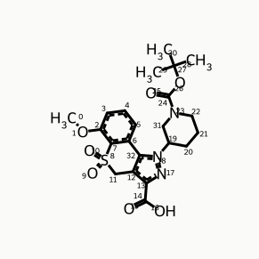 COc1cccc2c1S(=O)(=O)Cc1c(C(=O)O)nn(C3CCCN(C(=O)OC(C)(C)C)C3)c1-2